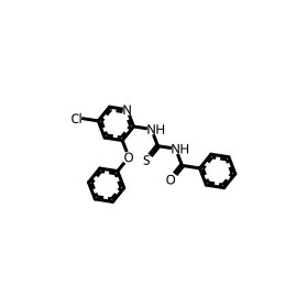 O=C(NC(=S)Nc1ncc(Cl)cc1Oc1ccccc1)c1ccccc1